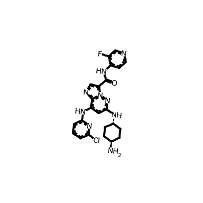 N[C@H]1CC[C@H](Nc2cc(Nc3cccc(Cl)n3)c3ncc(C(=O)Nc4ccncc4F)n3n2)CC1